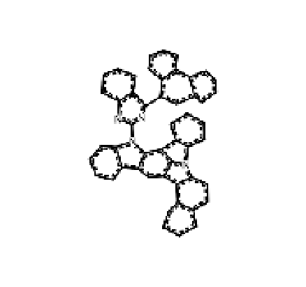 c1ccc2c(c1)cc(-c1nc(-n3c4ccccc4c4cc5c6c7ccccc7ccc6n6c7ccccc7c(c43)c56)nc3ccccc13)c1ccccc12